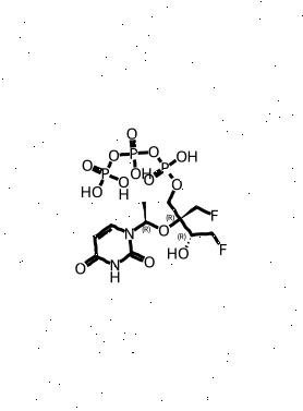 C[C@@H](O[C@](CF)(COP(=O)(O)OP(=O)(O)OP(=O)(O)O)[C@@H](O)CF)n1ccc(=O)[nH]c1=O